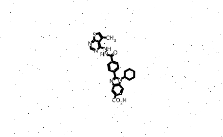 Cc1csc2ncnc(NNC(=O)c3ccc(-c4nc5cc(C(=O)O)ccc5n4C4CCCCC4)cc3)c12